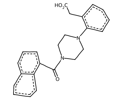 O=C(O)Cc1ccccc1N1CCN(C(=O)c2cccc3ccccc23)CC1